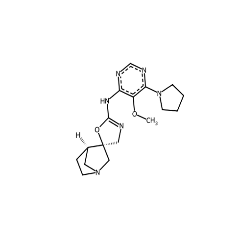 COc1c(NC2=NC[C@@]3(CN4CC[C@@H]3C4)O2)ncnc1N1CCCC1